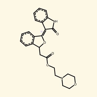 O=C(CC1O/C(=C2\C(=O)Nc3ccccc32)c2ccccc21)OCCN1CCOCC1